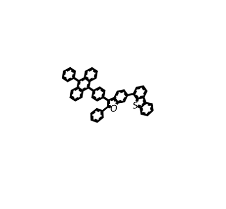 c1ccc(-c2oc3cc(-c4cccc5c4sc4ccccc45)ccc3c2-c2ccc(-c3c4ccccc4c(-c4ccccc4)c4ccccc34)cc2)cc1